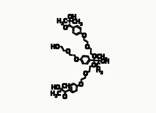 CC(C)(O)C(=O)c1ccc(OCCOCCOC(OCCOCCOc2ccc(C(=O)C(C)(C)O)cc2)(c2ccc(OCCOCCO)cc2)C(C)(C)O)cc1